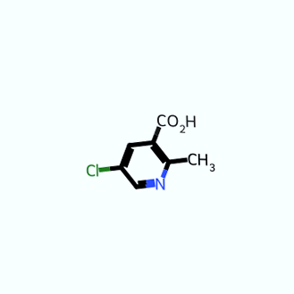 Cc1ncc(Cl)cc1C(=O)O